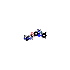 Cc1cccc(Nc2ncnc3cc4c(cc23)O[C@@H](CN2C[C@@H]3CC2CN3C)CO4)c1F